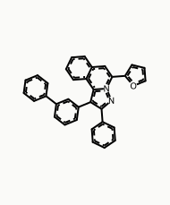 c1ccc(-c2cccc(-c3c(-c4ccccc4)nn4c(-c5ccco5)cc5ccccc5c34)c2)cc1